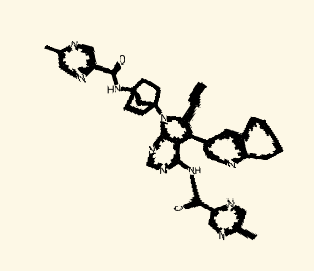 C#Cc1c(-c2cnc3ccccc3c2)c2c(NC(=O)c3cnc(C)cn3)ncnc2n1C12CCC(NC(=O)c3cnc(C)cn3)(CC1)C2